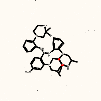 COc1ccc(N(Nc2ccccc2N2CC(C)NC(C)C2)Nc2ccccc2N2CCNC(C)(C)C2)c(N2CCNC(C)C2)c1